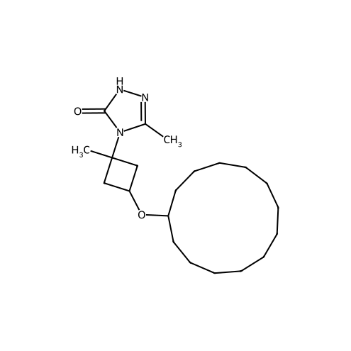 Cc1n[nH]c(=O)n1C1(C)CC(OC2CCCCCCCCCCCC2)C1